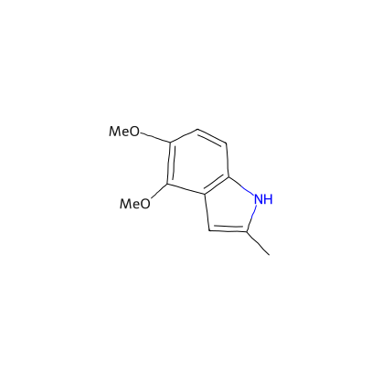 COc1ccc2[nH]c(C)cc2c1OC